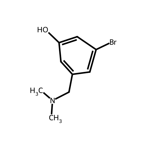 CN(C)Cc1cc(O)cc(Br)c1